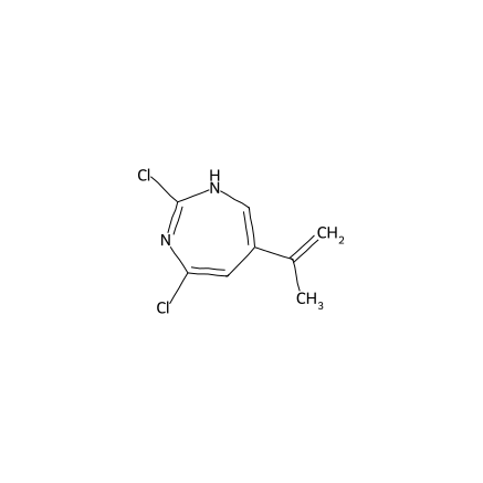 C=C(C)C1=CNC(Cl)=NC(Cl)=C1